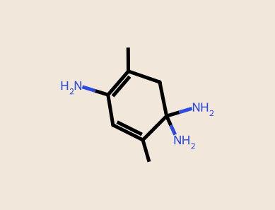 CC1=CC(N)=C(C)CC1(N)N